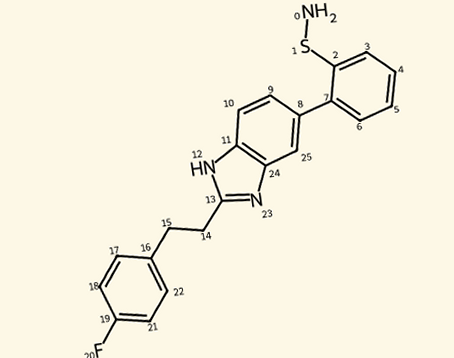 NSc1ccccc1-c1ccc2[nH]c(CCc3ccc(F)cc3)nc2c1